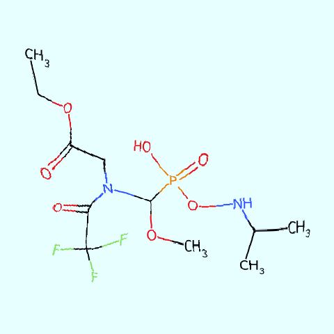 CCOC(=O)CN(C(=O)C(F)(F)F)C(OC)P(=O)(O)ONC(C)C